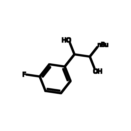 CCCCC(O)C(O)c1cccc(F)c1